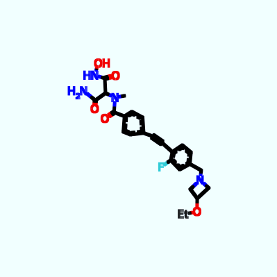 CCOC1CN(Cc2ccc(C#Cc3ccc(C(=O)N(C)C(C(N)=O)C(=O)NO)cc3)c(F)c2)C1